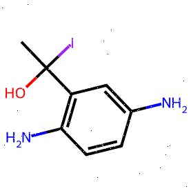 CC(O)(I)c1cc(N)ccc1N